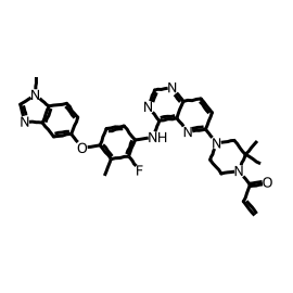 C=CC(=O)N1CCN(c2ccc3ncnc(Nc4ccc(Oc5ccc6c(c5)ncn6C)c(C)c4F)c3n2)CC1(C)C